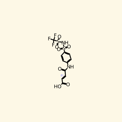 O=C(O)/C=C/C(=O)Nc1ccc(S(=O)(=O)NS(=O)(=O)C(F)(F)F)cc1